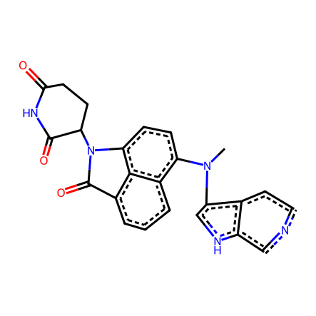 CN(c1c[nH]c2cnccc12)c1ccc2c3c(cccc13)C(=O)N2C1CCC(=O)NC1=O